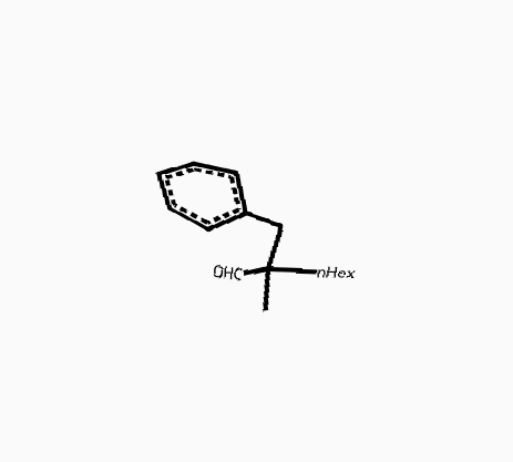 CCCCCCC(C)(C=O)Cc1ccccc1